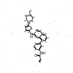 C=CC(=O)Nc1cccc(-c2cccc3cnc(Nc4ccc(N5CCN(C)CC5)s4)nc23)c1